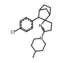 CC1CCN(C2=NC3(CC2)C2CCC(C2)C3c2ccc(Cl)cc2)CC1